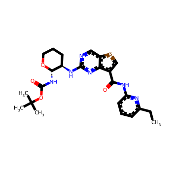 CCc1cccc(NC(=O)c2csc3cnc(N[C@@H]4CCCO[C@H]4NC(=O)OC(C)(C)C)nc23)n1